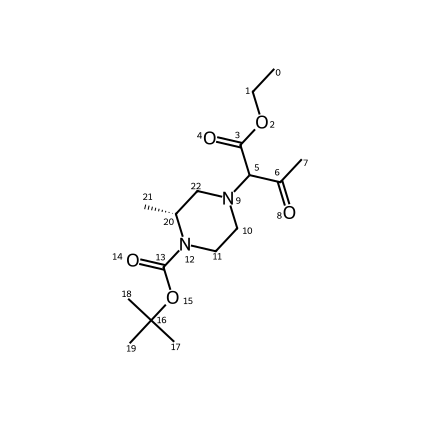 CCOC(=O)C(C(C)=O)N1CCN(C(=O)OC(C)(C)C)[C@H](C)C1